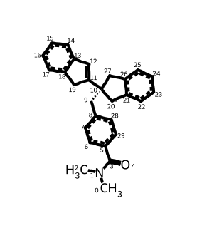 CN(C)C(=O)c1ccc(C[C@@]2(C3=Cc4ccccc4[CH]3)[CH]c3ccccc3C2)cc1